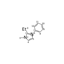 CCc1n(C)cc[n+]1-c1ccccc1